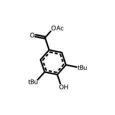 CC(=O)OC(=O)c1cc(C(C)(C)C)c(O)c(C(C)(C)C)c1